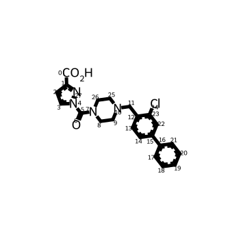 O=C(O)c1ccn(C(=O)N2CCN(Cc3ccc(-c4ccccc4)cc3Cl)CC2)n1